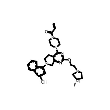 C=CC(=O)N1CCN(c2nc(OCCN3CC[C@H](F)C3)nc3c2CCN(c2cc(O)cc4ccccc24)C3)CC1